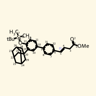 COC(=O)C/C=C/c1ccc(-c2ccc(O[Si](C)(C)C(C)(C)C)c(C34CC5CC(CC(C5)C3)C4)c2)cc1